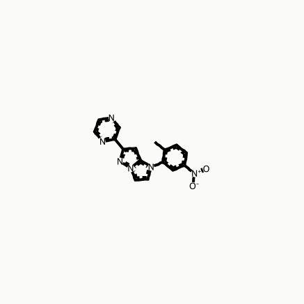 Cc1ccc([N+](=O)[O-])cc1-n1ccn2nc(-c3cnccn3)cc12